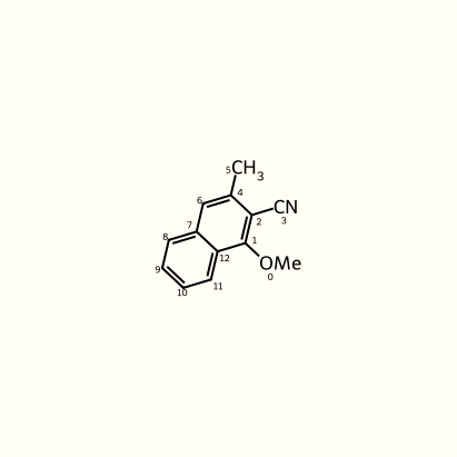 COc1c(C#N)c(C)cc2ccccc12